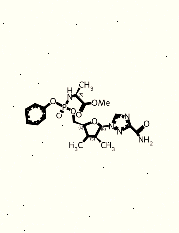 COC(=O)[C@H](C)NP(=O)(OC[C@H]1O[C@@H](n2cnc(C(N)=O)n2)[C@@H](C)C1C)Oc1ccccc1